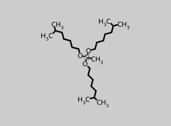 CC(C)CCCCCO[Si](C)(OCCCCCC(C)C)OCCCCCC(C)C